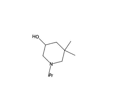 CC(C)N1CC(O)CC(C)(C)C1